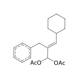 CC(=O)OC(OC(C)=O)/C(=C/C1CCCCC1)Cc1ccccc1